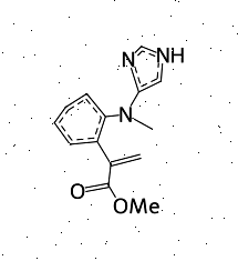 C=C(C(=O)OC)c1ccccc1N(C)c1c[nH]cn1